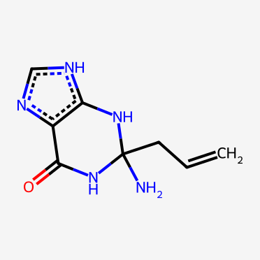 C=CCC1(N)NC(=O)c2nc[nH]c2N1